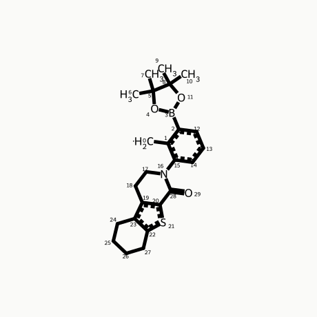 [CH2]c1c(B2OC(C)(C)C(C)(C)O2)cccc1N1CCc2c(sc3c2CCCC3)C1=O